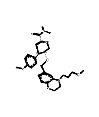 COCCCN1CCOc2ccc(CO[C@H]3CN[C@@H](C(=O)N(C)C)C[C@@H]3c3ccc(OC)cc3)cc21